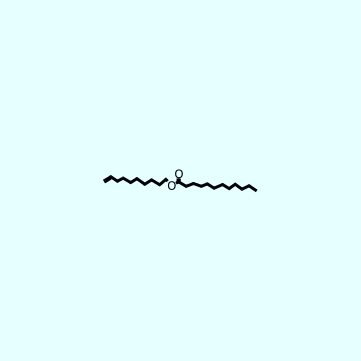 C=CCCCCCCCCOC(=O)CCCCCCCCCCC